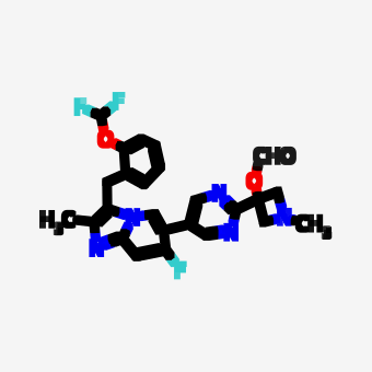 Cc1nc2cc(F)c(-c3cnc(C4(OC=O)CN(C)C4)nc3)cn2c1Cc1ccccc1OC(F)F